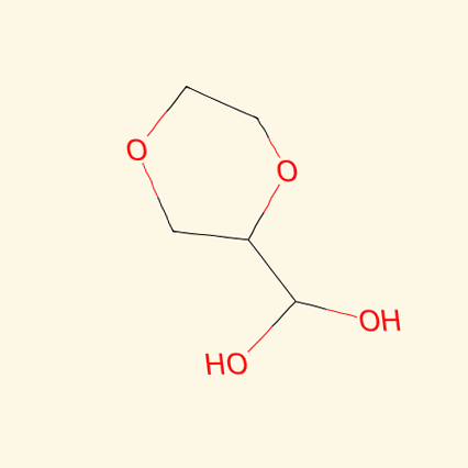 OC(O)C1COCCO1